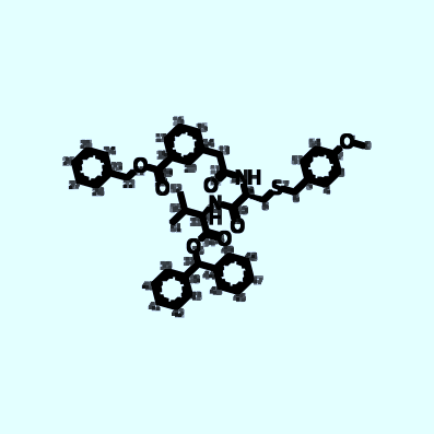 COc1ccc(CSC[C@H](NC(=O)Cc2cccc(C(=O)OCc3ccccc3)c2)C(=O)N[C@@H](C(=O)OC(c2ccccc2)c2ccccc2)C(C)C)cc1